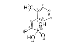 Cc1ccccc1C=C(F)P(=O)(O)O